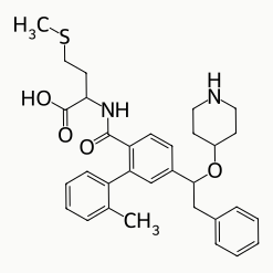 CSCCC(NC(=O)c1ccc(C(Cc2ccccc2)OC2CCNCC2)cc1-c1ccccc1C)C(=O)O